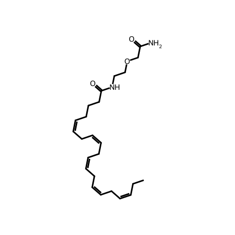 CC/C=C\C/C=C\C/C=C\C/C=C\C/C=C\CCCC(=O)NCCOCC(N)=O